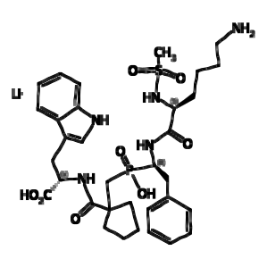 CS(=O)(=O)N[C@@H](CCCCN)C(=O)N[C@@H](Cc1ccccc1)P(=O)(O)CC1(C(=O)N[C@@H](Cc2c[nH]c3ccccc23)C(=O)O)CCCC1.[Li]